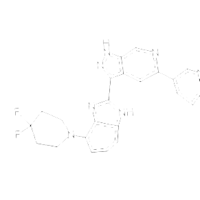 FC1(F)CCN(c2cccc3[nH]c(-c4n[nH]c5cnc(-c6cccnc6)cc45)nc23)CC1